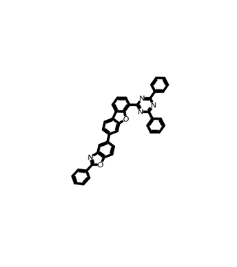 c1ccc(-c2nc(-c3ccccc3)nc(-c3cccc4c3oc3cc(-c5ccc6oc(-c7ccccc7)nc6c5)ccc34)n2)cc1